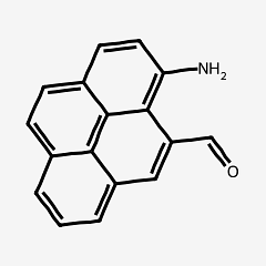 Nc1ccc2ccc3cccc4cc(C=O)c1c2c34